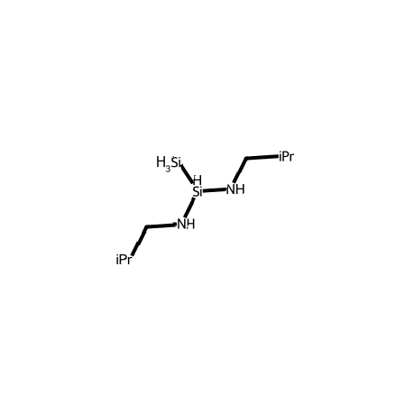 CC(C)CN[SiH]([SiH3])NCC(C)C